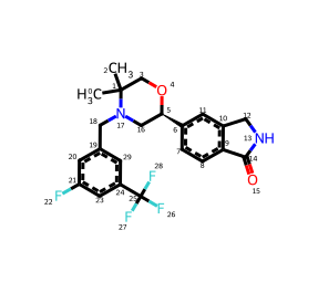 CC1(C)CO[C@@H](c2ccc3c(c2)CNC3=O)CN1Cc1cc(F)cc(C(F)(F)F)c1